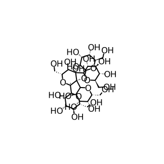 OC[C@H]1OC([C@@]2(OC3O[C@H](CO)[C@@H](O)[C@@H](O)[C@H]3O)[C](C3O[C@H](CO)[C@@H](O)[C@H](O)[C@@H]3O)O[C@H](CO)[C@H](O)[C@@]2(O)C2O[C@H](CO)[C@@H](O)[C@H](O)[C@H]2O)[C@H](O)[C@@H](O)[C@H]1O